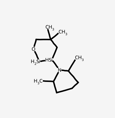 CC1CCCC(C)N1[SiH]1CC(C)(C)CO[SiH2]1